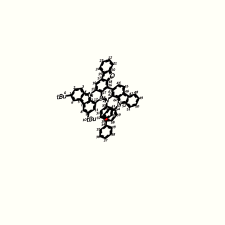 CC(C)(C)c1ccc2c(c1)c1cc(C(C)(C)C)cc3c1n2-c1cc2c(oc4ccccc42)c2c1B3N(c1ccc(-c3ccccc3)cc1)c1c-2ccc2c3ccccc3n(-c3ccccc3)c12